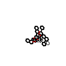 c1ccc(-c2ccc(-c3nc(-c4ccc5c(ccc6ccccc65)c4)nc(-c4cccc5oc6ccc7ccc(-n8c9cc%10ccccc%10cc9c9cc%10ccccc%10cc98)cc7c6c45)n3)cc2)cc1